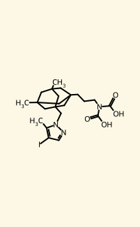 Cc1c(I)cnn1CC12CC3(C)CC(C)(CC(CCCN(C(=O)O)C(=O)O)(C3)C1)C2